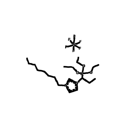 CCCCCCCCn1cc[n+](C(CC)[Si](OCC)(OCC)OCC)c1.F[P-](F)(F)(F)(F)F